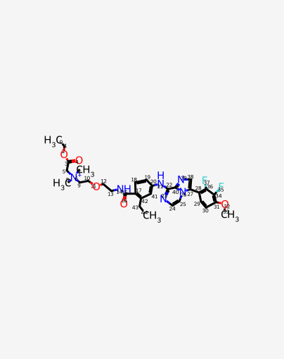 CCOC(=O)C[N+](C)(C)CCOCCNC(=O)c1ccc(Nc2nccn3c(-c4ccc(OC)c(F)c4F)cnc23)cc1CC